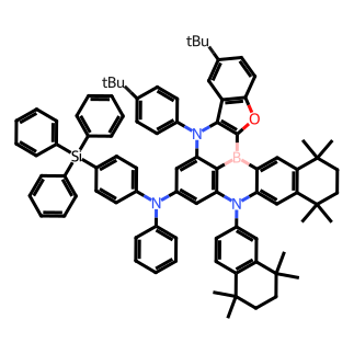 CC(C)(C)c1ccc(N2c3cc(N(c4ccccc4)c4ccc([Si](c5ccccc5)(c5ccccc5)c5ccccc5)cc4)cc4c3B(c3cc5c(cc3N4c3ccc4c(c3)C(C)(C)CCC4(C)C)C(C)(C)CCC5(C)C)c3oc4ccc(C(C)(C)C)cc4c32)cc1